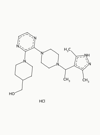 Cc1n[nH]c(C)c1C(C)N1CCN(c2nccnc2N2CCC(CO)CC2)CC1.Cl